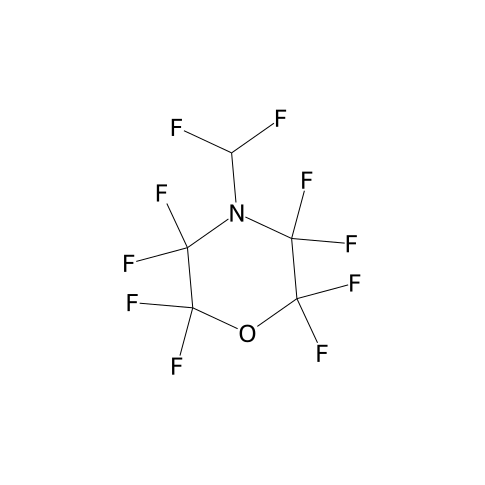 FC(F)N1C(F)(F)C(F)(F)OC(F)(F)C1(F)F